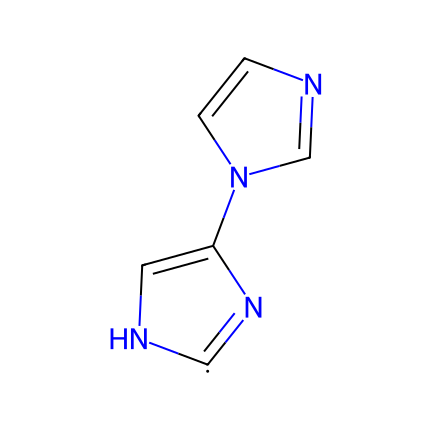 [c]1nc(-n2ccnc2)c[nH]1